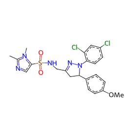 COc1ccc(C2CC(CNS(=O)(=O)c3cnc(C)n3C)=NN2c2ccc(Cl)cc2Cl)cc1